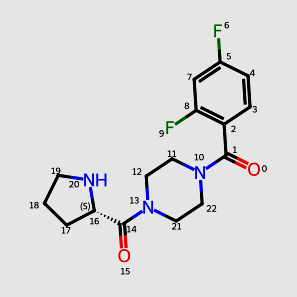 O=C(c1ccc(F)cc1F)N1CCN(C(=O)[C@@H]2CCCN2)CC1